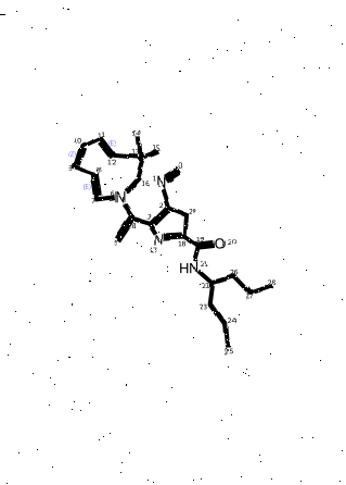 C=NC1=C(C(=C)N2/C=C/C=C\C=C\C(C)(C)C2)N=C(C(=O)NC(CCC)CCC)C1